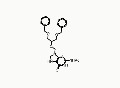 CC(=O)Nc1nc2c(c(=O)[nH]1)NCN2COC(COCc1ccccc1)COCc1ccccc1